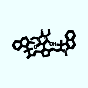 C=C(/C=C/C1=C(c2c(O)n(CC)c(=S)n(CC)c2=O)C(=C/C=C2/N(C)c3ccc4ccccc4c3C2(C)C)/CC1)C(C)(C)c1c(C)ccc2ccccc12